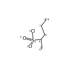 O=S(=O)(Cl)C(F)CCF